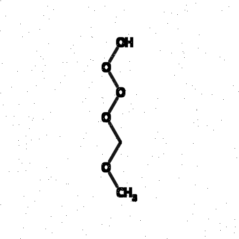 COCOOOO